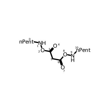 CCCCCNOC(=O)CC(=O)ONCCCCC